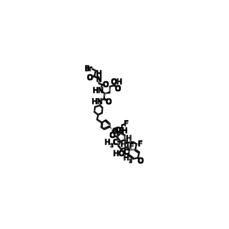 C[C@]12C=CC(=O)C=C1[C@@H](F)C[C@H]1[C@@H]3C[C@H]4O[C@@H](c5ccc(CC6CCC(NC(=O)[C@H](CCC(=O)O)NC(=O)CNC(=O)CBr)CC6)cc5)O[C@@]4(C(=O)SCF)[C@@]3(C)C[C@H](O)[C@@]12F